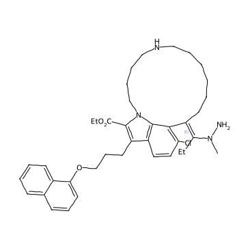 CCOC(=O)c1c(CCCOc2cccc3ccccc23)c2ccc(Cl)c3c2n1CCCCNCCCCCC/C3=C(/CC)N(C)N